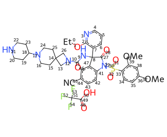 CCOc1ncccc1C1(NC(=O)N2CC3(CCN(C4CCNCC4)CC3)C2)C(=O)N(S(=O)(=O)c2ccc(OC)cc2OC)c2ccc(C#N)cc21.O=C(O)C(F)(F)F